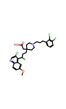 COc1ccc2ncc(Cl)c(C(F)CCC3(CC(=O)O)CCN(CCCc4cccc(F)c4F)CC3)c2c1